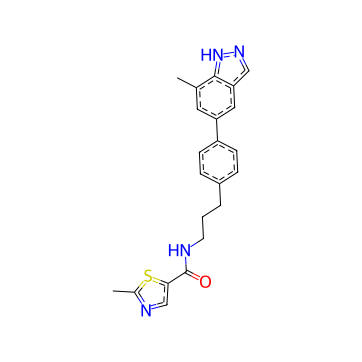 Cc1ncc(C(=O)NCCCc2ccc(-c3cc(C)c4[nH]ncc4c3)cc2)s1